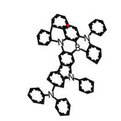 c1ccc(-c2ccccc2N2c3cc4c5ccc(N(c6ccccc6)c6ccccc6)cc5n(-c5ccccc5)c4cc3B3c4ccccc4N(c4ccccc4)c4cccc2c43)cc1